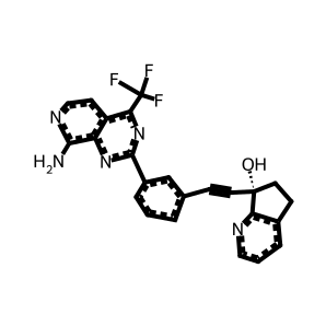 Nc1nccc2c(C(F)(F)F)nc(-c3cccc(C#C[C@@]4(O)CCc5cccnc54)c3)nc12